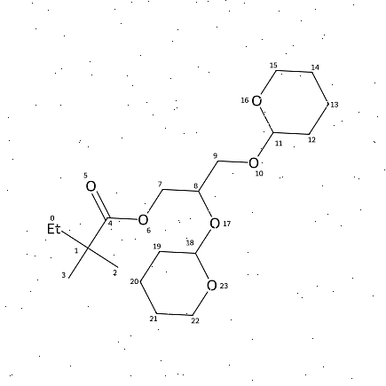 CCC(C)(C)C(=O)OCC(COC1CCCCO1)OC1CCCCO1